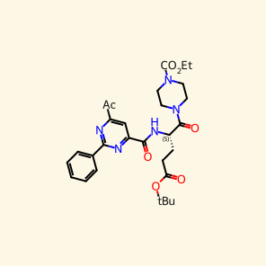 CCOC(=O)N1CCN(C(=O)[C@H](CCC(=O)OC(C)(C)C)NC(=O)c2cc(C(C)=O)nc(-c3ccccc3)n2)CC1